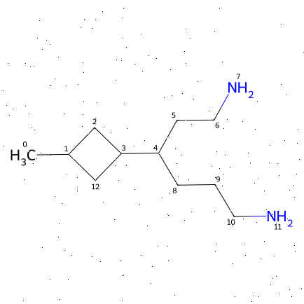 CC1CC(C(CCN)CCCN)C1